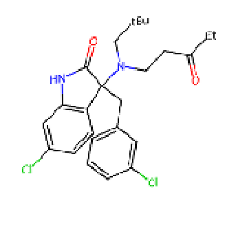 CCC(=O)CCN(CC(C)(C)C)C1(Cc2cccc(Cl)c2)C(=O)Nc2cc(Cl)ccc21